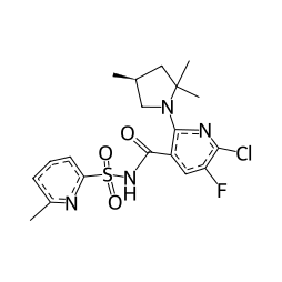 Cc1cccc(S(=O)(=O)NC(=O)c2cc(F)c(Cl)nc2N2C[C@@H](C)CC2(C)C)n1